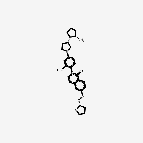 Cc1cc(N2CC[C@H](N3CCC[C@@H]3C)C2)ccc1-n1ccc2cc(OC[C@@H]3CCCO3)ccc2c1=O